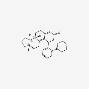 C[C@@]12CCC[C@H]1[C@@H]1CCC3=CC(=O)CC(c4ccccc4N4CCCCC4)C3=C1CC2